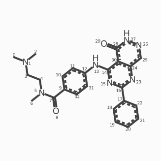 CN(C)CCN(C)C(=O)c1ccc(Nc2nc(-c3ccccc3)nc3cn[nH]c(=O)c23)cc1